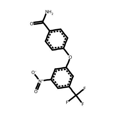 NC(=O)c1ccc(Oc2cc([N+](=O)[O-])cc(C(F)(F)F)c2)cc1